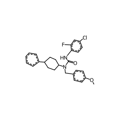 COc1ccc(CN(C(=O)Nc2ccc(Cl)cc2F)C2CCC(c3ccccc3)CC2)cc1